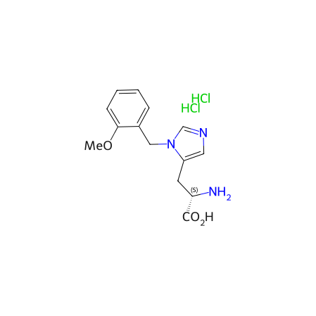 COc1ccccc1Cn1cncc1C[C@H](N)C(=O)O.Cl.Cl